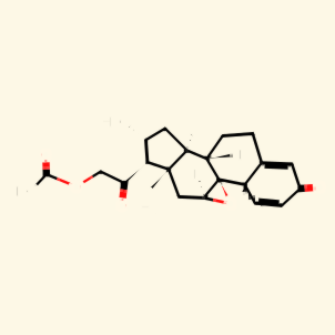 CC(=O)OCC(=O)[C@H]1[C@H](C)C[C@H]2[C@@H]3CCC4=CC(=O)C=C[C@]4(C)[C@@]34O[C@H]4C[C@@]21C